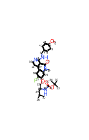 COc1ccc(CNc2nccc3c2c(=O)n(C)c2cc(OC[C@H](CC(C)C)NC(=O)OC(C)(C)C)c(F)cc32)cc1